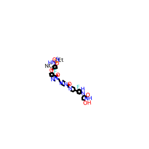 CCN(C)S(=O)(=O)Nc1ccc(F)c(Oc2ccc3ncn(CCN4CCN(C(=O)CN5CCC(c6ccc(NC7CCC(O)NC7=O)cc6F)CC5)CC4)c(=O)c3c2)c1C#N